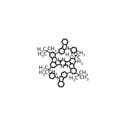 CC(C)(C)c1cc(-c2ccc3c(c2)c2ccccc2n3-c2ccccc2)c2c(c1)c1cc(C(C)(C)C)cc3c4nc5c(nc4n2c13)c1cc(C(C)(C)C)cc2c3cc(C(C)(C)C)cc(-c4ccc6c(c4)c4ccccc4n6-c4ccccc4)c3n5c21